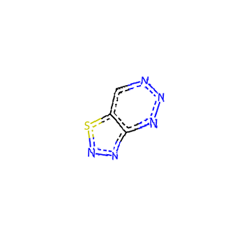 c1nnnc2nnsc12